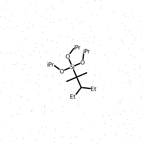 CCC(CC)C(C)(C)[Si](OC(C)C)(OC(C)C)OC(C)C